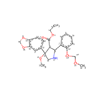 CCOC(=O)C1C(c2ccccc2OCOC)NCC1(OC)c1ccc2c(c1)OCO2